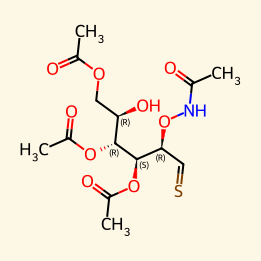 CC(=O)NO[C@@H](C=S)[C@@H](OC(C)=O)[C@H](OC(C)=O)[C@H](O)COC(C)=O